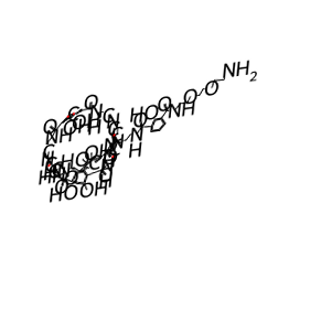 NCCOCCOCCNC(=O)c1cccc(C(=O)NCCN2CCNC(=O)c3ccc(c(O)c3O)C(=O)NCCN3CCNC(=O)c4ccc(c(O)c4O)C(=O)NCCN(CCNC(=O)c4ccc(c(O)c4O)C(=O)NCC3)CC2)c1O